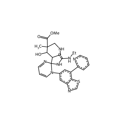 CCNC(=O)NC1(C2CNCC(C)(C(=O)OC)C2O)N=CC=CN1c1cc(-c2ccccn2)c2scnc2c1